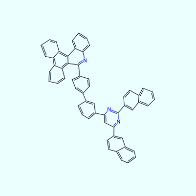 c1cc(-c2ccc(-c3nc4ccccc4c4c5ccccc5c5ccccc5c34)cc2)cc(-c2cc(-c3ccc4ccccc4c3)nc(-c3ccc4ccccc4c3)n2)c1